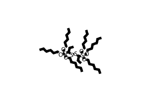 CCCCCCO[Si](OCCCCCC)(OCCCCCC)C(CC)SSC(CC)[Si](OCCCCCC)(OCCCCCC)OCCCCCC